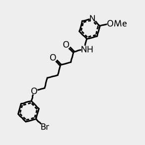 COc1cc(NC(=O)CC(=O)CCCOc2cccc(Br)c2)ccn1